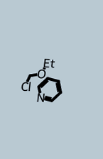 CCOCCl.c1ccncc1